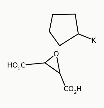 O=C(O)C1OC1C(=O)O.[K][CH]1CCCC1